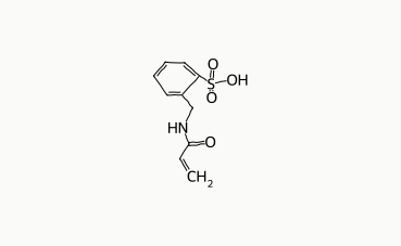 C=CC(=O)NCc1ccccc1S(=O)(=O)O